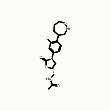 CC(=O)NC[C@H]1CN(c2ccc(C3CCCONC3)c(F)c2)C(=O)O1